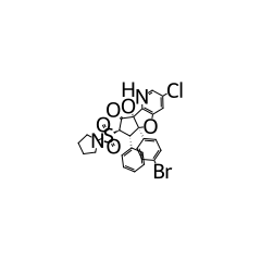 O=C1[C@H](S(=O)(=O)N2CCCC2)[C@@H](c2ccccc2)[C@]2(c3ccc(Br)cc3)Oc3cc(Cl)cnc3[C@]12O